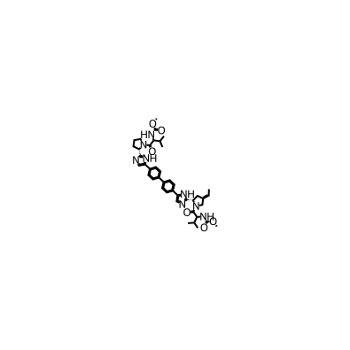 C/C=C1\C[C@@H](c2ncc(-c3ccc(-c4ccc(-c5cnc([C@@H]6CCCN6C(=O)C(NC(=O)OC)C(C)C)[nH]5)cc4)cc3)[nH]2)N(C(=O)C(NC(=O)OC)C(C)C)C1